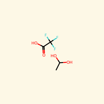 CC(O)O.O=C(O)C(F)(F)F